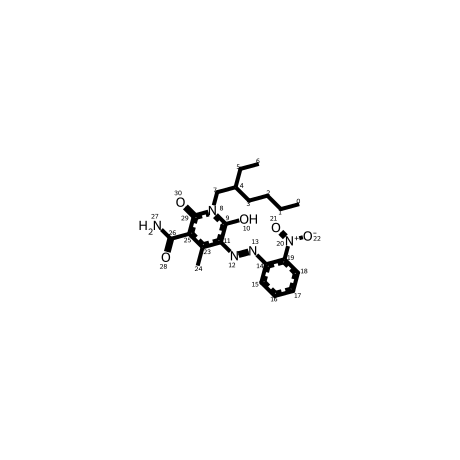 CCCCC(CC)Cn1c(O)c(/N=N/c2ccccc2[N+](=O)[O-])c(C)c(C(N)=O)c1=O